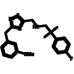 COc1cccc(Cc2nsc(CNCC(C)(C)c3ccc(F)cc3)n2)c1